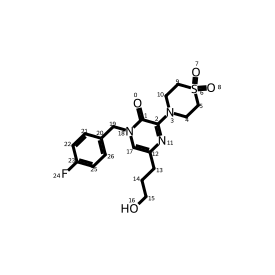 O=c1c(N2CCS(=O)(=O)CC2)nc(CCCO)cn1Cc1ccc(F)cc1